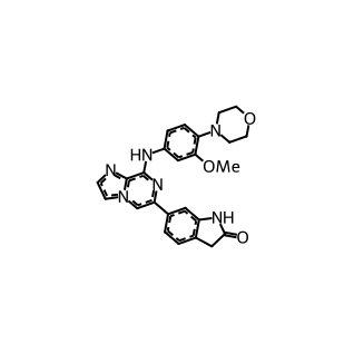 COc1cc(Nc2nc(-c3ccc4c(c3)NC(=O)C4)cn3ccnc23)ccc1N1CCOCC1